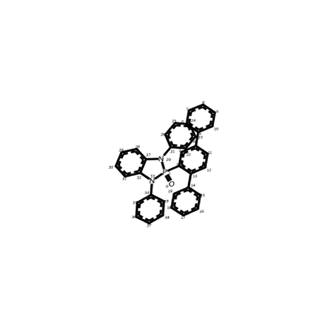 O=P1(c2cc(-c3ccccc3)ccc2-c2ccccc2)N(c2ccccc2)c2ccccc2N1c1ccccc1